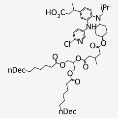 CCCCCCCCCCCCCCCC(=O)OCC(COC(=O)CCCCCCCCCCCCCCC)OC(=O)CC(C)CC(=O)O[C@H]1CC[C@H](N(CC(C)C)c2ccc(C(C)CC(=O)O)cc2Nc2ccc(Cl)nc2)CC1